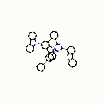 c1ccc(-c2ccc(-c3nc(-c4ccccc4-c4cc(-n5c6ccccc6c6ccccc65)cc5c4sc4ccccc45)nc(-c4cccc5c4oc4ccccc45)n3)cc2)cc1